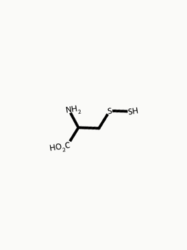 NC(CSS)C(=O)O